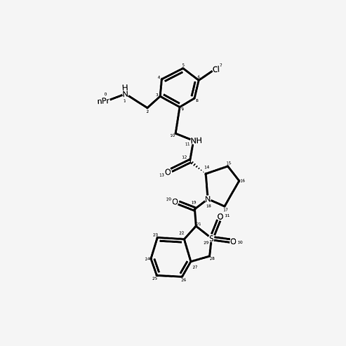 CCCNCc1ccc(Cl)cc1CNC(=O)[C@@H]1CCCN1C(=O)C1c2ccccc2CS1(=O)=O